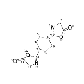 O=C1CN=C(C2CCC(C3=NCC(=O)O3)CC2)O1